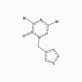 O=c1c(Br)nc(Br)cn1Cc1ccsc1